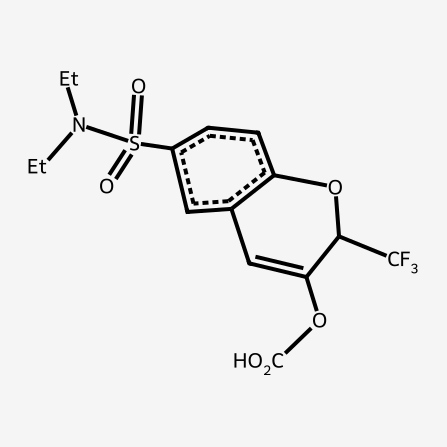 CCN(CC)S(=O)(=O)c1ccc2c(c1)C=C(OC(=O)O)C(C(F)(F)F)O2